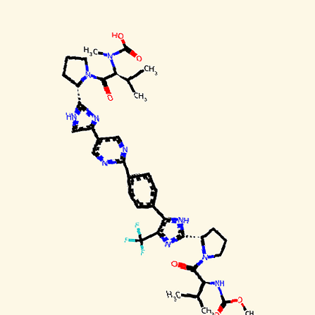 COC(=O)N[C@H](C(=O)N1CCC[C@H]1c1nc(C(F)(F)F)c(-c2ccc(-c3ncc(-c4c[nH]c([C@@H]5CCCN5C(=O)[C@H](C(C)C)N(C)C(=O)O)n4)cn3)cc2)[nH]1)C(C)C